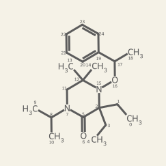 CCC1(CC)C(=O)N(C(C)C)CC(C)(C)N1OC(C)c1ccccc1